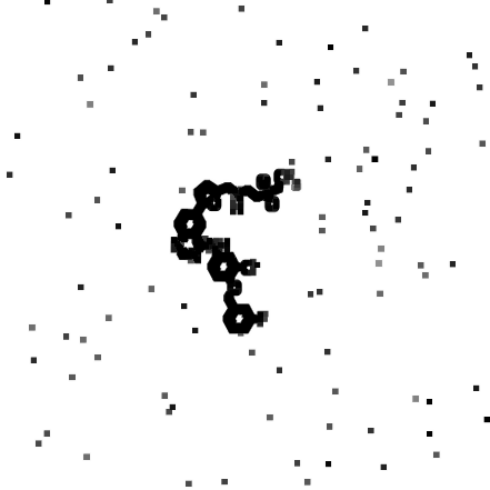 O=S(=O)(CCNCc1ccc(-c2ccc3ncnc(Nc4ccc(OCc5cccc(F)c5)c(Cl)c4)c3c2)o1)CC(F)(F)F